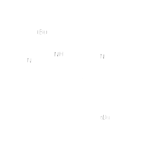 CC(C)(C)c1ncc(-c2ccc(C(C)(C)C)c3ccncc23)[nH]1